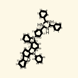 c1ccc(C2NC(c3ccccc3)NC(c3ccc(-n4c5ccccc5c5c6c7ccc8c9ccccc9oc8c7n(-c7ccccc7)c6ccc54)cc3)N2)cc1